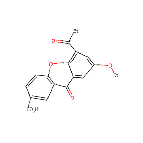 CCOc1cc(C(=O)CC)c2oc3ccc(C(=O)O)cc3c(=O)c2c1